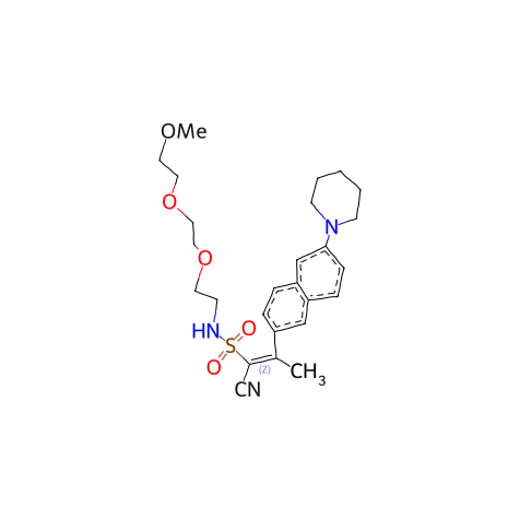 COCCOCCOCCNS(=O)(=O)/C(C#N)=C(/C)c1ccc2cc(N3CCCCC3)ccc2c1